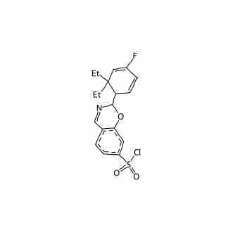 CCC1(CC)C=C(F)C=CC1C1N=Cc2ccc(S(=O)(=O)Cl)cc2O1